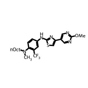 CCCCCCCCN(C)c1ccc(Nc2nc(-c3cnc(OC)nc3)cs2)cc1C(F)(F)F